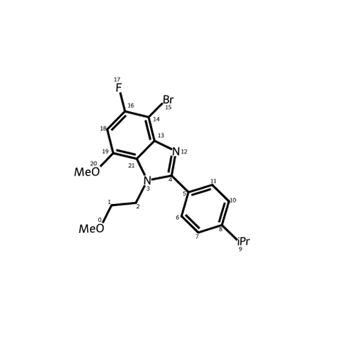 COCCn1c(-c2ccc(C(C)C)cc2)nc2c(Br)c(F)cc(OC)c21